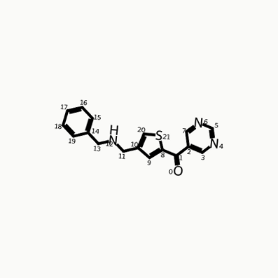 O=C(c1cncnc1)c1cc(CNCc2ccccc2)cs1